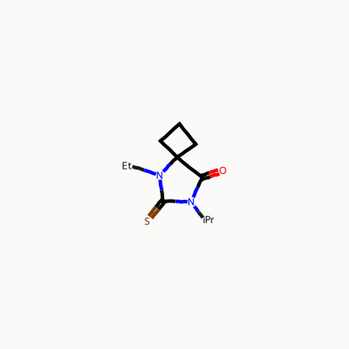 CCN1C(=S)N(C(C)C)C(=O)C12CCC2